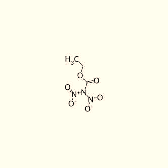 CCOC(=O)N([N+](=O)[O-])[N+](=O)[O-]